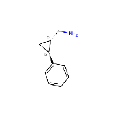 NC[C@H]1C[C@@H]1c1ccccc1